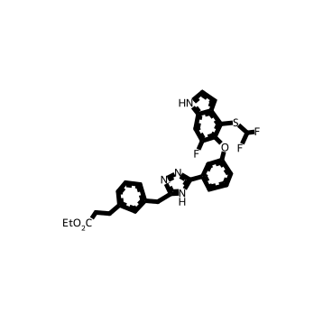 CCOC(=O)CCc1cccc(Cc2nnc(-c3cccc(Oc4c(F)cc5[nH]ccc5c4SC(F)F)c3)[nH]2)c1